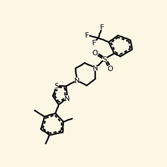 Cc1cc(C)c(-c2csc(N3CCN(S(=O)(=O)c4ccccc4C(F)(F)F)CC3)n2)c(C)c1